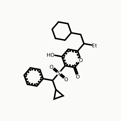 CCC(CC1CCCCC1)c1cc(O)c(S(=O)(=O)C(c2ccccc2)C2CC2)c(=O)o1